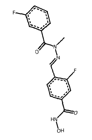 CN(N=Cc1ccc(C(=O)NO)cc1F)C(=O)c1cccc(F)c1